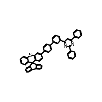 c1ccc(-c2cc(-c3cccc(-c4ccc(-c5ccc6c(c5)Sc5ccccc5C65c6ccccc6-c6ccccc65)cc4)c3)nc(-c3ccccc3)n2)cc1